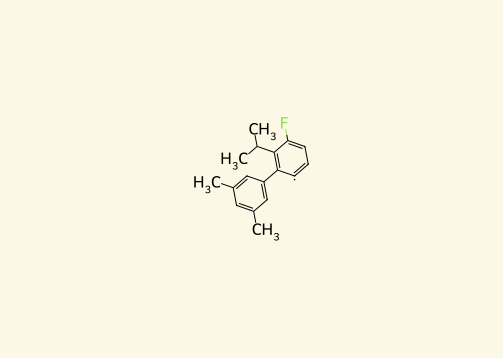 Cc1cc(C)cc(-c2[c]ccc(F)c2C(C)C)c1